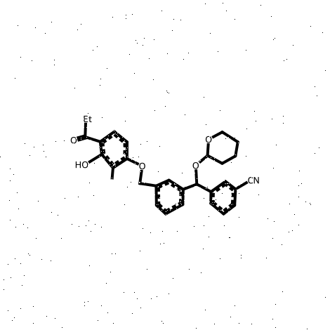 CCC(=O)c1ccc(OCc2cccc(C(OC3CCCCO3)c3cccc(C#N)c3)c2)c(C)c1O